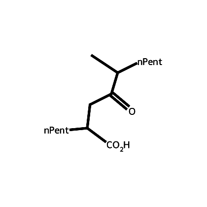 CCCCCC(C)C(=O)CC(CCCCC)C(=O)O